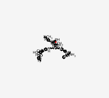 Cc1ncsc1-c1ccc(CNC(=O)[C@@H]2C[C@@H](O)CN2C(=O)[C@@H](NC(=O)N(CCCCNC[C@H]2CC[C@H](n3cc4cc(NC(=O)c5cccc(C(F)(F)F)n5)c(C(C)(C)O)cc4n3)CC2)CCCCN2CCC(c3ccc(Nc4nc(N5CCCCC5)cnc4C(N)=O)cc3)CC2)C(C)(C)C)cc1